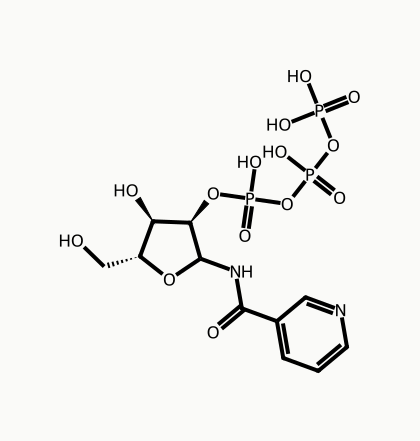 O=C(NC1O[C@H](CO)[C@@H](O)[C@H]1OP(=O)(O)OP(=O)(O)OP(=O)(O)O)c1cccnc1